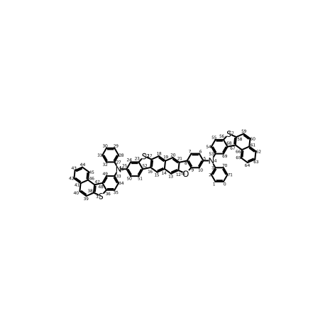 c1ccc(N(c2ccc3c(c2)oc2cc4cc5c(cc4cc23)sc2cc(N(c3ccccc3)c3ccc4sc6ccc7ccccc7c6c4c3)ccc25)c2ccc3sc4ccc5ccccc5c4c3c2)cc1